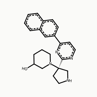 OC1CCCN([C@]2(c3nccc(-c4ccc5ccccc5c4)n3)CCNC2)C1